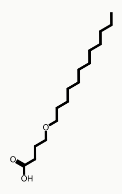 CCCCCCCCCCCCOCCCC(=O)O